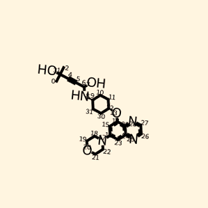 CC(C)(O)C#CC(O)N[C@H]1CC[C@@H](Oc2cc(N3CCOCC3)cc3nccnc23)CC1